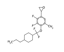 CCCC1CCC(C(F)(F)Oc2c(C)cc(C3CO3)c(F)c2F)CC1